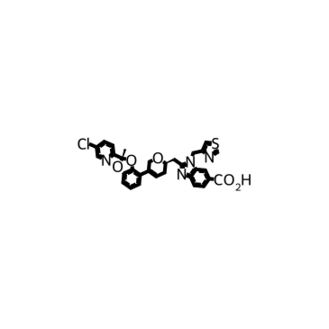 C[C@]1(c2ccc(Cl)cn2)Oc2cccc(C3=CC[C@H](Cc4nc5ccc(C(=O)O)cc5n4Cc4cscn4)OC3)c2O1